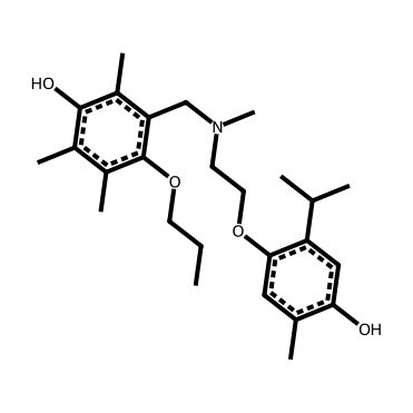 CCCOc1c(C)c(C)c(O)c(C)c1CN(C)CCOc1cc(C)c(O)cc1C(C)C